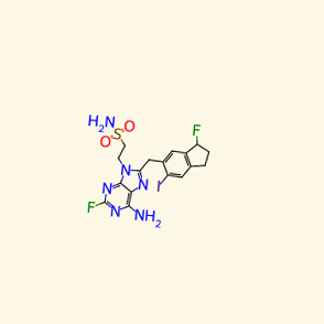 Nc1nc(F)nc2c1nc(Cc1cc3c(cc1I)CCC3F)n2CCS(N)(=O)=O